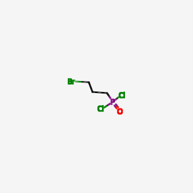 O=P(Cl)(Cl)CCCBr